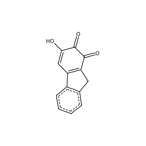 O=C1C(=O)C2=C(C=C1O)c1ccccc1C2